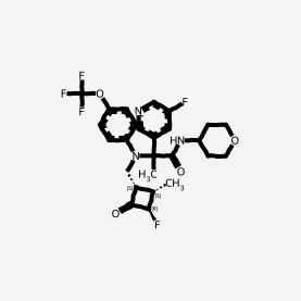 C[C@@H]1[C@@H](F)C(=O)[C@@H]1CN(c1ccc(OC(F)(F)F)cc1)C(C)(C(=O)NC1CCOCC1)c1cncc(F)c1